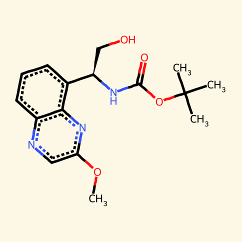 COc1cnc2cccc([C@@H](CO)NC(=O)OC(C)(C)C)c2n1